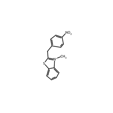 C[n+]1c(Cc2ccc([N+](=O)[O-])cc2)sc2ccccc21